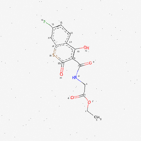 CCOC(=O)CNC(=O)c1c(O)c2ccc(F)cc2sc1=O